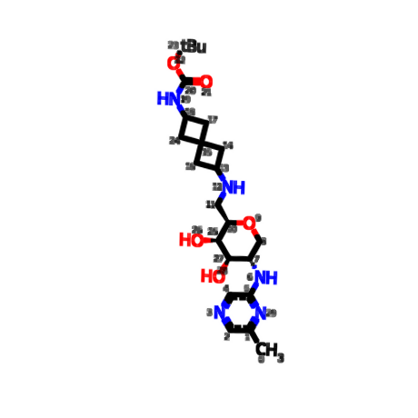 Cc1cncc(N[C@H]2CO[C@H](CNC3CC4(C3)CC(NC(=O)OC(C)(C)C)C4)[C@H](O)[C@@H]2O)n1